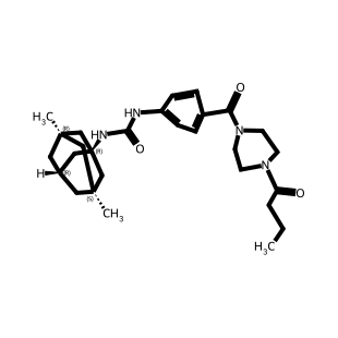 CCCC(=O)N1CCN(C(=O)c2ccc(NC(=O)N[C@@]34C[C@@H]5C[C@@](C)(C[C@@](C)(C5)C3)C4)cc2)CC1